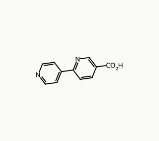 O=C(O)c1ccc(-c2ccncc2)nc1